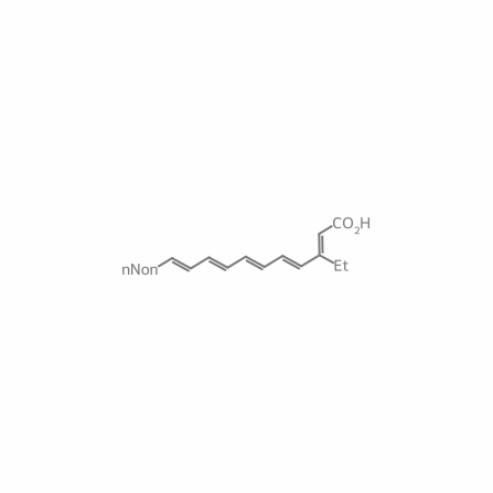 CCCCCCCCCC=CC=CC=CC=CC(=CC(=O)O)CC